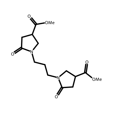 COC(=O)C1CC(=O)N(CCCN2CC(C(=O)OC)CC2=O)C1